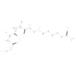 C[C@H](N)C(=O)N[C@@H](C)C(=O)N[C@@H](C)C(=O)NCSCCCCCC(=O)O